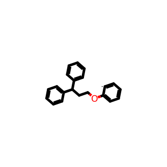 [c]1ccccc1OCCC(c1ccccc1)c1ccccc1